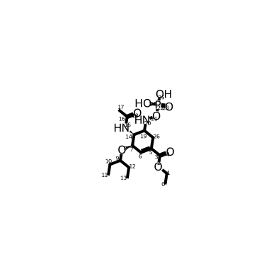 CCOC(=O)C1=C[C@@H](OC(CC)CC)[C@H](NC(C)=O)C(NOP(=O)(O)O)C1